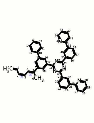 C=C/C=C\C=C(/C)c1cc(-c2ccccc2)cc(-c2nc(-c3cccc(-c4ccccn4)c3)nc(-c3cccc(-c4ccccn4)c3)n2)c1